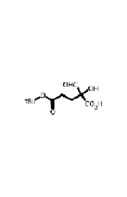 CC(C)(C)OC(=O)CCC(O)([C]=O)C(=O)O